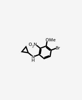 COc1c(Br)ccc(NC2CC2)c1[N+](=O)[O-]